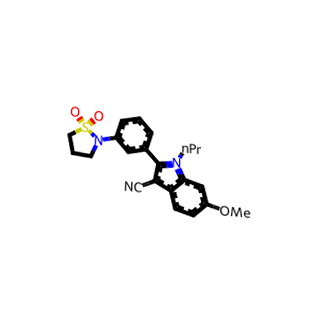 CCCn1c(-c2cccc(N3CCCS3(=O)=O)c2)c(C#N)c2ccc(OC)cc21